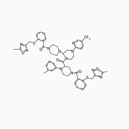 Cc1cccc(N2CCN(C(=O)c3ccccc3SCc3noc(C)n3)CC2C(=O)N2CCN(c3ccc(C(F)(F)F)cn3)CC2N2CCN(C(=O)c3ccccc3SCc3noc(C)n3)CC2)c1